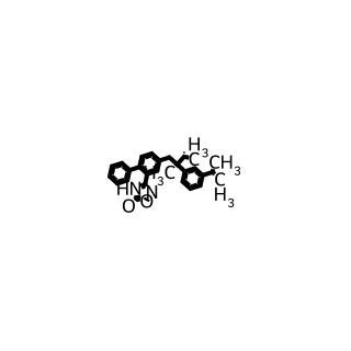 C[CH]C(C)(Cc1ccc(-c2ccccc2)c(-c2noc(=O)[nH]2)c1)c1cccc(C(C)C)c1